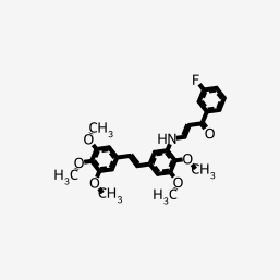 COc1cc(C=Cc2cc(OC)c(OC)c(OC)c2)cc(NC=CC(=O)c2cccc(F)c2)c1OC